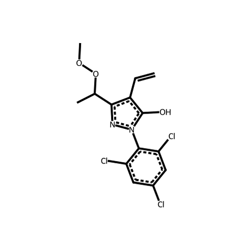 C=Cc1c(C(C)OOC)nn(-c2c(Cl)cc(Cl)cc2Cl)c1O